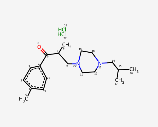 Cc1ccc(C(=O)C(C)CN2CCN(CC(C)C)CC2)cc1.Cl.Cl